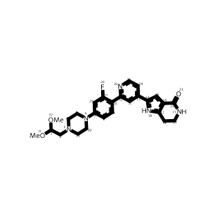 COC(CN1CCN(c2ccc(-c3cc(-c4cc5c([nH]4)CCNC5=O)ccn3)c(F)c2)CC1)OC